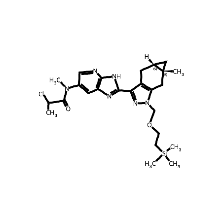 CC(Cl)C(=O)N(C)c1cnc2[nH]c(-c3nn(COCC[Si](C)(C)C)c4c3C[C@@H]3C[C@]3(C)C4)nc2c1